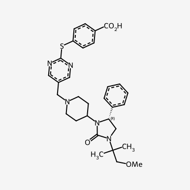 COCC(C)(C)N1C[C@@H](c2ccccc2)N(C2CCN(Cc3cnc(Sc4ccc(C(=O)O)cc4)nc3)CC2)C1=O